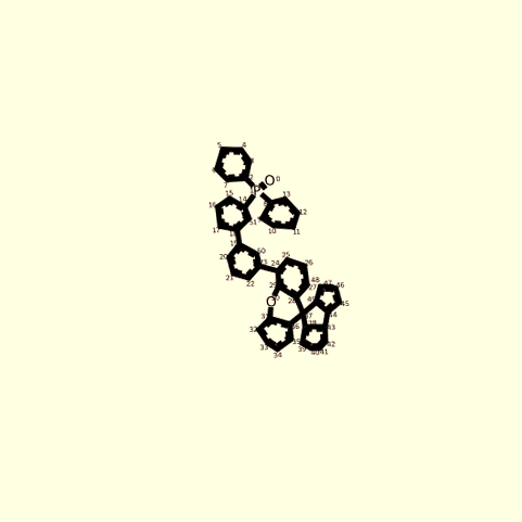 O=P(c1ccccc1)(c1ccccc1)c1cccc(-c2cccc(-c3cccc4c3Oc3ccccc3C43c4ccccc4-c4ccccc43)c2)c1